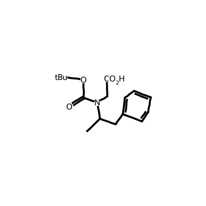 CC(Cc1ccccc1)N(CC(=O)O)C(=O)OC(C)(C)C